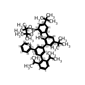 CC(C)c1cccc(C(C)C)c1-c1cc(-c2ccccn2)cc(-c2cc(C(C)(C)C)cc3c2[nH]c2c(B4OC(C)(C)C(C)(C)O4)cc(C(C)(C)C)cc23)c1